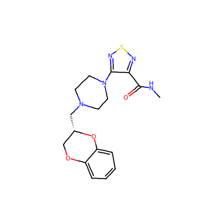 CNC(=O)c1nsnc1N1CCN(C[C@H]2COc3ccccc3O2)CC1